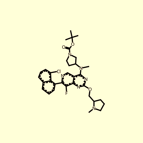 CN1CCCC1COc1nc(N(C)C2CCN(C(=O)OC(C)(C)C)C2)c2cnc(-c3cccc4cccc(Cl)c34)c(F)c2n1